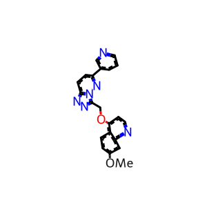 COc1ccc2c(OCc3nnc4ccc(-c5cccnc5)nn34)ccnc2c1